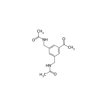 CC(=O)NCc1cc(CNC(C)=O)cc(C(C)=O)c1